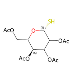 CC(=O)OCC1O[C@H](S)C(OC(C)=O)C(OC(C)=O)[C@H]1OC(C)=O